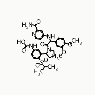 COc1ccc(C(Nc2ccnc(C(N)=O)c2)C(=O)N2CCCC2c2cc(NC(=O)O)ccc2S(=O)(=O)C(C)C)cc1OC